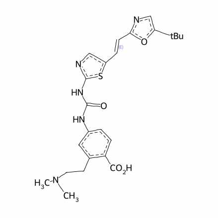 CN(C)CCc1cc(NC(=O)Nc2ncc(/C=C/c3ncc(C(C)(C)C)o3)s2)ccc1C(=O)O